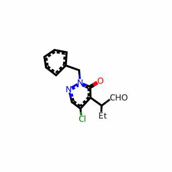 CCC(C=O)c1c(Cl)cnn(Cc2ccccc2)c1=O